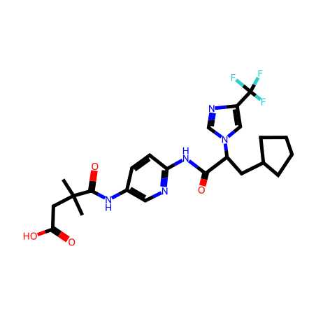 CC(C)(CC(=O)O)C(=O)Nc1ccc(NC(=O)C(CC2CCCC2)n2cnc(C(F)(F)F)c2)nc1